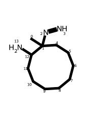 CC1(N=N)CCCCCCCCC1N